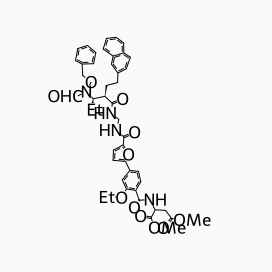 CCOc1cc(-c2ccc(C(=O)NCNC(=O)[C@H](CCc3ccc4ccccc4c3)[C@@H](CC)N(C=O)OCc3ccccc3)o2)ccc1C(=O)NC(CC(=O)OC)C(=O)OC